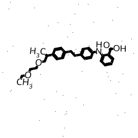 CCOCCOCC(C)c1ccc(CCc2ccc(Nc3ccccc3C(=O)O)cc2)cc1